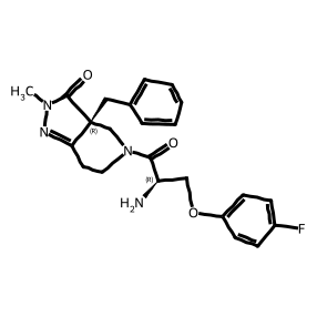 CN1N=C2CCN(C(=O)[C@H](N)COc3ccc(F)cc3)C[C@@]2(Cc2ccccc2)C1=O